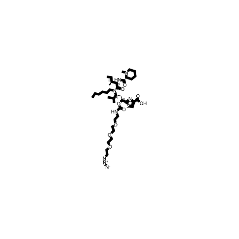 CCCCCCN(C(=O)[C@@H](NC(=O)[C@H]1CCCCN1C)[C@@H](C)CC)[C@H](C[C@@H](OC(=O)NCCOCCOCCOCCN=[N+]=[N-])c1nc(C(=O)O)cs1)C(C)C